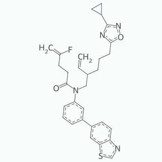 C=CC(CCCc1nc(C2CC2)no1)CN(C(=O)CCC(=C)F)c1cccc(-c2ccc3ncsc3c2)c1